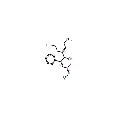 C/C=C(I)\C=C(\c1ccccc1)C(C)/C(=C/CC)CCC